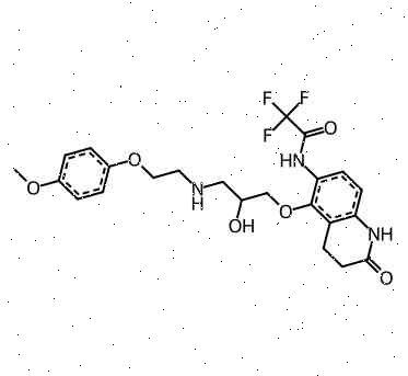 COc1ccc(OCCNCC(O)COc2c(NC(=O)C(F)(F)F)ccc3c2CCC(=O)N3)cc1